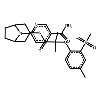 Cc1ccc(OC(C)(C)C(=O)NC2CC3CCC(C2)N3c2ccc(C(N)=O)cn2)c(S(C)(=O)=O)c1